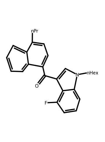 CCCCCCn1cc(C(=O)c2ccc(CCC)c3ccccc23)c2c(F)cccc21